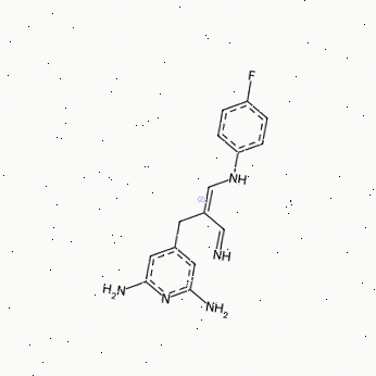 N=C/C(=C\Nc1ccc(F)cc1)Cc1cc(N)nc(N)c1